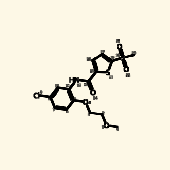 COCCOc1ccc(Cl)cc1NC(=O)c1ccc(S(C)(=O)=O)s1